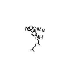 COc1cc(NC/C=C(/C)CCC=C(C)C)ccc1-c1cnco1